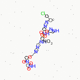 CC1(C)CCC(CN2CCN(c3ccc(C(=O)NS(=O)(=O)c4ccc(NCC5CCN(C6CCN(CCCCOc7cccc8c7CN(C7CCC(=O)NC7=O)C8=O)CC6)CC5)c([N+](=O)[O-])c4)c(Oc4cnc5[nH]ccc5c4)c3)CC2)=C(c2ccc(Cl)cc2)C1